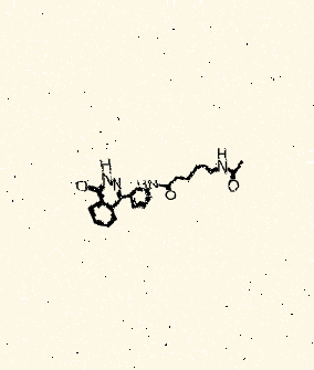 CC(=O)NCCCCC(=O)Nc1cccc(-c2n[nH]c(=O)c3ccccc23)c1